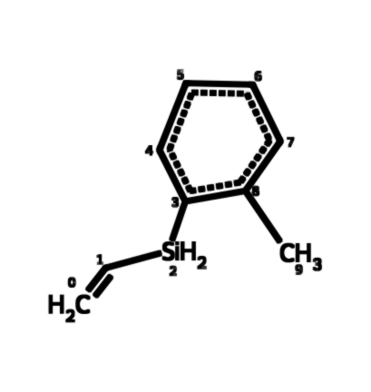 C=C[SiH2]c1ccccc1C